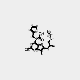 Cc1c(CC(C)CN=[N+]=[N-])sc2c(N(Cc3ccco3)C(=O)O)nc(Cl)nc12